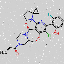 C=CC(=O)N1CCN2C(=O)c3c(N4CCCC45CC5)nc(-c4c(O)cccc4F)c(Cl)c3OC[C@H]2C1